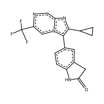 O=C1Cc2cc(-c3c(C4CC4)nc4cnc(C(F)(F)F)cn34)ccc2N1